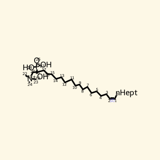 CCCCCCC/C=C\CCCCCCCCCCCCCCCC(O)(C[N+](C)(C)C)P(=O)(O)O